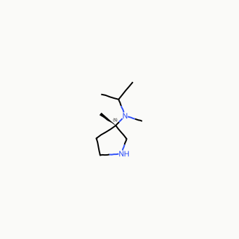 CC(C)N(C)[C@@]1(C)CCNC1